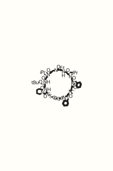 CC[C@@H]1NC(=O)[C@H](CC(C)C)N(C)C(=O)[C@H](Cc2ccccc2)N(C)C(=O)[C@H](C)N(C)C(=O)[C@H](Cc2ccccc2)N(C)COCCSC[C@@H](C(=O)N2CCCCC2)NC(=O)[C@H](COC(C)(C)C)NC(=O)[C@H](CC(C)C)N(C)C(=O)CN(C)C1=O